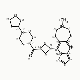 CN1CCc2nc3ccnn3c(N3CC(C(=O)N4CCN(C5CCCC5)CC4)C3)c2CC1